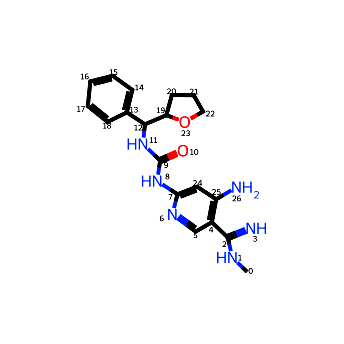 CNC(=N)c1cnc(NC(=O)NC(c2ccccc2)C2CCCO2)cc1N